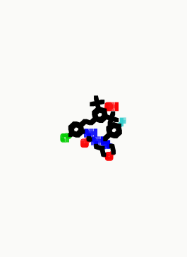 CC(C)(C)c1cc(CCc2ccc(Cl)cc2NC(=O)NCC2COCCN2Cc2ccc(F)cc2)cc(C(C)(C)C)c1O